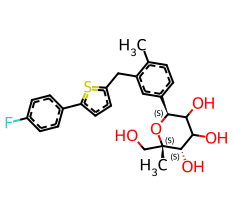 Cc1ccc([C@@H]2O[C@@](C)(CO)[C@@H](O)C(O)C2O)cc1Cc1ccc(-c2ccc(F)cc2)s1